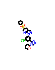 O=S(=O)(c1cnc2c(cnn2-c2cc(Cl)cc(-c3nncn3C3CCCCO3)c2)c1)C1CCCC1